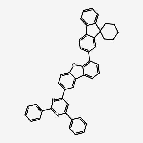 c1ccc(-c2cc(-c3ccc4oc5c(-c6ccc7c(c6)C6(CCCCC6)c6ccccc6-7)cccc5c4c3)nc(-c3ccccc3)n2)cc1